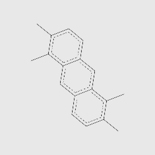 Cc1ccc2cc3c(C)c(C)ccc3cc2c1C